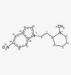 CN1CCCCC1CCn1ccc2cc([N+](=O)[O-])ccc21